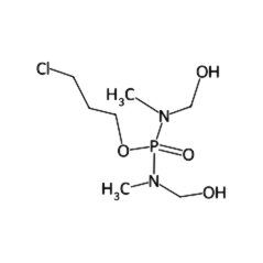 CN(CO)P(=O)(OCCCCl)N(C)CO